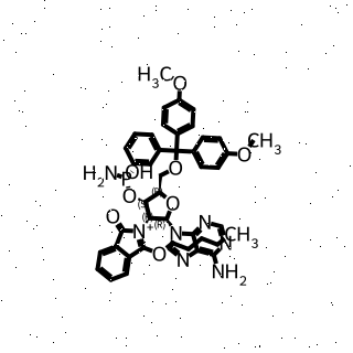 CCCCCOC1=[N+]([C@@H]2[C@H](OP(N)O)[C@@H](COC(c3ccccc3)(c3ccc(OC)cc3)c3ccc(OC)cc3)O[C@H]2n2cnc3c(N)ncnc32)C(=O)c2ccccc21